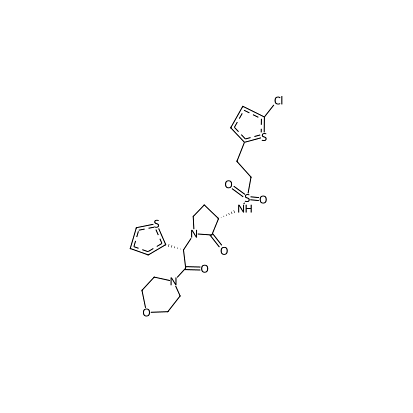 O=C([C@H](c1cccs1)N1CC[C@H](NS(=O)(=O)CCc2ccc(Cl)s2)C1=O)N1CCOCC1